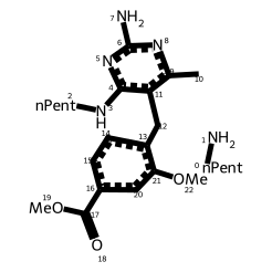 CCCCCN.CCCCCNc1nc(N)nc(C)c1Cc1ccc(C(=O)OC)cc1OC